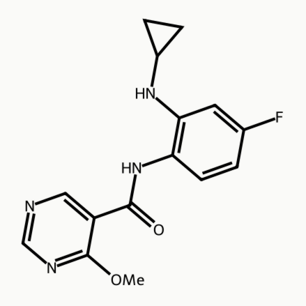 COc1ncncc1C(=O)Nc1ccc(F)cc1NC1CC1